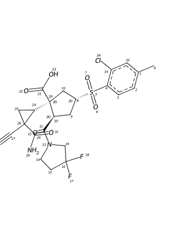 Cc1ccc(S(=O)(=O)[C@@H]2C[C@@H](C(=O)N3CCC(F)(F)C3)[C@](C(=O)O)(C3CC3(C#N)C(N)=O)C2)c(Cl)c1